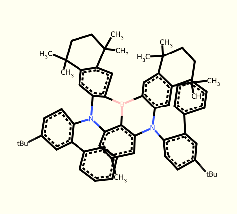 Cc1cc2c3c(c1)N(c1ccc(C(C)(C)C)cc1-c1ccccc1)c1cc4c(cc1B3c1cc3c(cc1N2c1ccc(C(C)(C)C)cc1-c1ccccc1)C(C)(C)CCC3(C)C)C(C)(C)CCC4(C)C